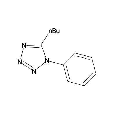 CCCCc1nnnn1-c1ccccc1